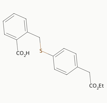 CCOC(=O)Cc1ccc(SCc2ccccc2C(=O)O)cc1